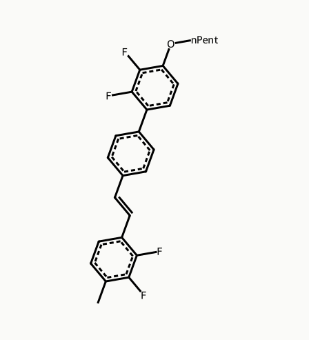 CCCCCOc1ccc(-c2ccc(/C=C/c3ccc(C)c(F)c3F)cc2)c(F)c1F